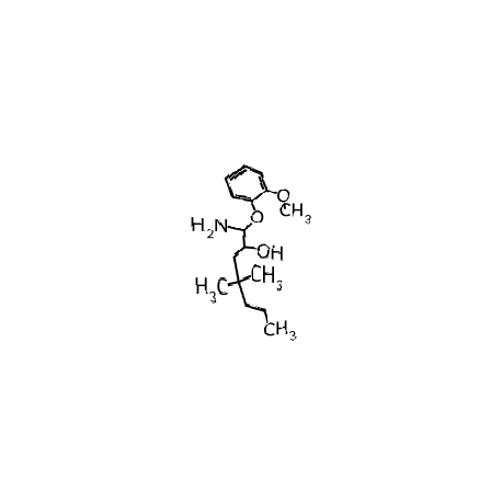 CCCC(C)(C)CC(O)C(N)Oc1ccccc1OC